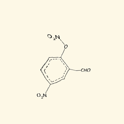 O=Cc1cc([N+](=O)[O-])ccc1O[N+](=O)[O-]